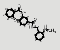 CNc1ccccc1CNC(=O)c1ccc2c(c1)NC(=O)c1ccccc1S2